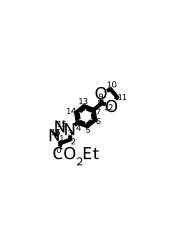 CCOC(=O)C1CN(c2ccc(C3OCCO3)cc2)N=N1